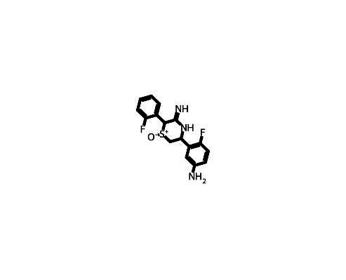 N=C1NC(c2cc(N)ccc2F)C[S+]([O-])C1c1ccccc1F